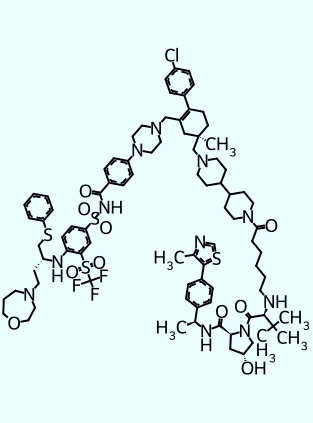 Cc1ncsc1-c1ccc([C@H](C)NC(=O)[C@@H]2C[C@@H](O)CN2C(=O)[C@@H](NCCCCCC(=O)N2CCC(C3CCN(C[C@]4(C)CCC(c5ccc(Cl)cc5)=C(CN5CCN(c6ccc(C(=O)NS(=O)(=O)c7ccc(N[C@H](CCN8CCCOCC8)CSc8ccccc8)c(S(=O)(=O)C(F)(F)F)c7)cc6)CC5)C4)CC3)CC2)C(C)(C)C)cc1